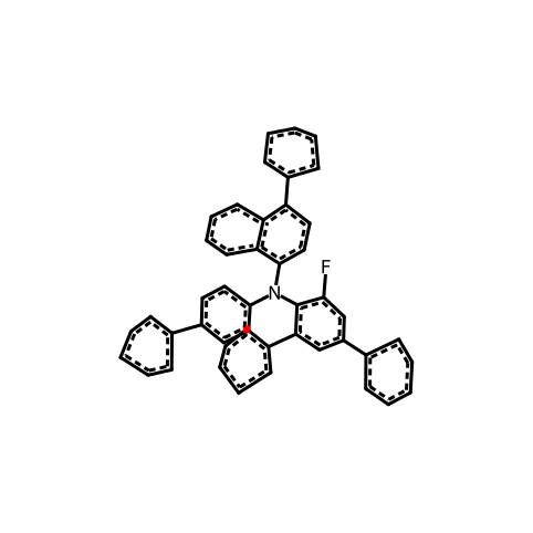 Fc1cc(-c2ccccc2)cc(-c2ccccc2)c1N(c1ccc(-c2ccccc2)cc1)c1ccc(-c2ccccc2)c2ccccc12